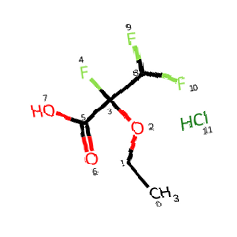 CCOC(F)(C(=O)O)C(F)F.Cl